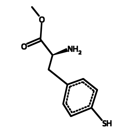 COC(=O)[C@@H](N)Cc1ccc(S)cc1